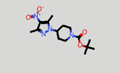 Cc1nn(C2CCN(C(=O)OC(C)(C)C)CC2)c(C)c1[N+](=O)[O-]